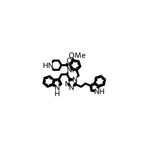 COc1ccc(Cn2c(CCc3c[nH]c4ccccc34)nnc2C(Cc2c[nH]c3ccccc23)NC(=O)C2CCNCC2)cc1